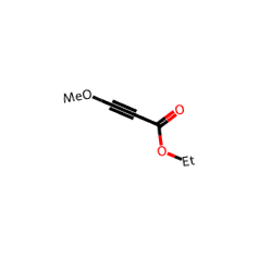 CCOC(=O)C#COC